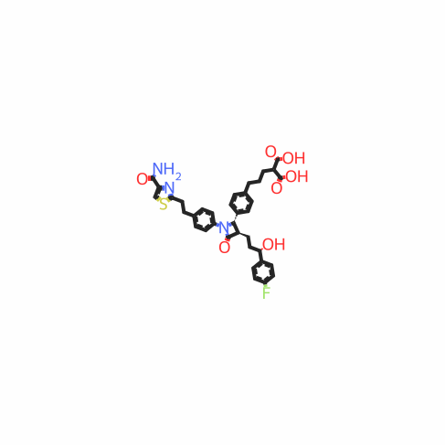 NC(=O)c1csc(CCc2ccc(N3C(=O)[C@H](CC[C@H](O)c4ccc(F)cc4)[C@H]3c3ccc(CCCC(C(=O)O)C(=O)O)cc3)cc2)n1